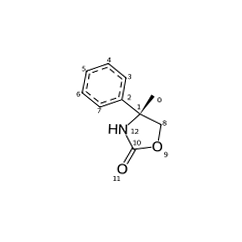 C[C@@]1(c2ccccc2)COC(=O)N1